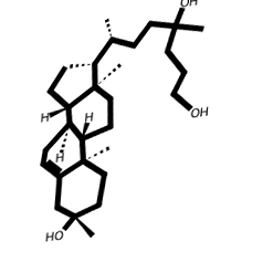 C[C@H](CCC(C)(O)CCCO)[C@H]1CC[C@H]2[C@@H]3CC=C4C[C@@](C)(O)CC[C@]4(C)[C@H]3CC[C@]12C